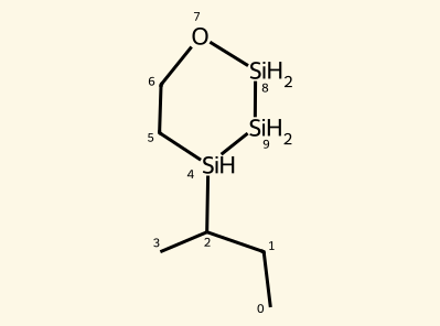 CCC(C)[SiH]1CCO[SiH2][SiH2]1